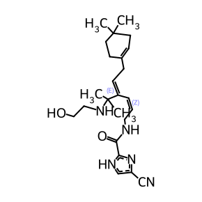 CC1(C)CC=C(C/C=C(\C=C/CNC(=O)c2nc(C#N)c[nH]2)C(C)(C)NCCO)CC1